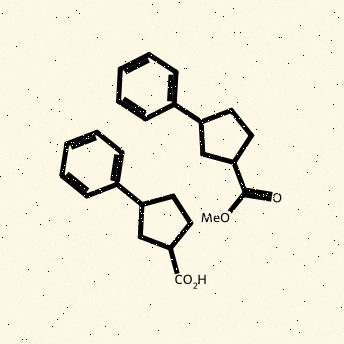 COC(=O)C1CCC(c2ccccc2)C1.O=C(O)C1CCC(c2ccccc2)C1